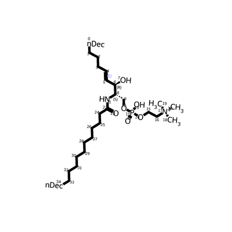 CCCCCCCCCCCCC/C=C/[C@@H](O)[C@H](COP(=O)(O)OCC[N+](C)(C)C)NC(=O)CCCCCCCCCCCCCCCCCCCC